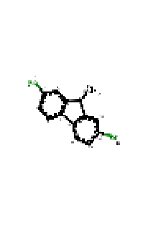 [CH2]C1c2cc(Br)ccc2-c2ccc(Br)cc21